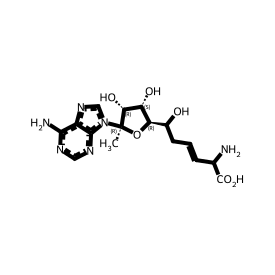 C[C@@]1(n2cnc3c(N)ncnc32)O[C@H](C(O)CC=CC(N)C(=O)O)[C@@H](O)[C@H]1O